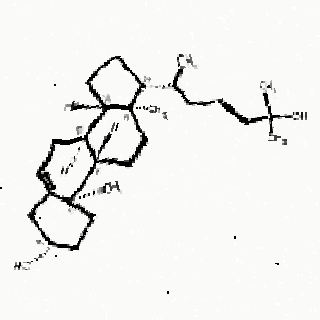 CC(CCCC(C)(C)O)[C@H]1CC[C@H]2[C@@H]3CC=C4C[C@@H](O)CC[C@]4(C)[C@H]3CC[C@]12C